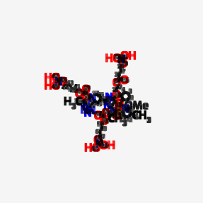 COc1ccccc1Oc1c(OCCOC(=O)CCCON(O)O)nc(-c2ccnc(-c3nnnn3C(C)OC(=O)OCCCCON(O)O)c2)nc1N(C(C)OC(=O)OCCCCON(O)O)S(=O)(=O)c1ccc(C)cn1